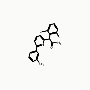 NC(=O)C(c1cccc(-c2cccc(C(F)(F)F)c2)n1)c1c(F)cccc1Cl